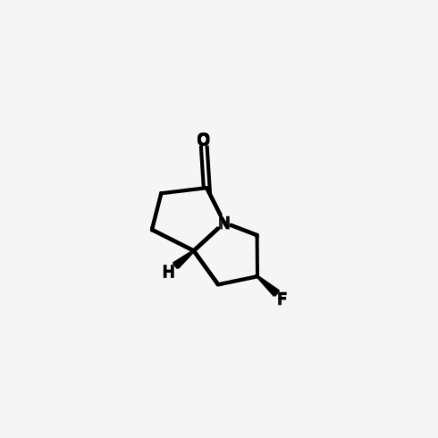 O=C1CC[C@H]2C[C@H](F)CN12